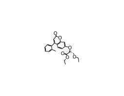 CCOC[C@@H](Oc1ccc2c(-c3ccccc3C)cc(=O)oc2c1)C(=O)OCC